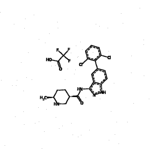 C[C@H]1CC[C@@H](C(=O)Nc2n[nH]c3ccc(-c4c(Cl)cccc4Cl)cc23)CN1.O=C(O)C(F)(F)F